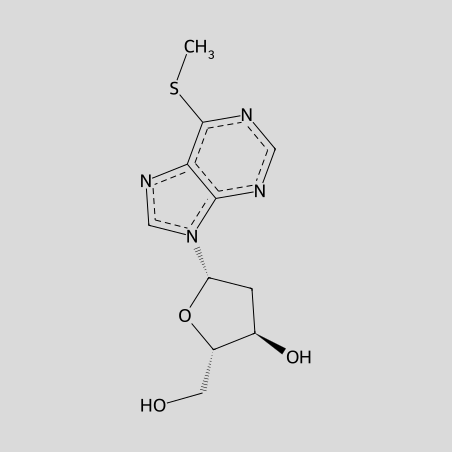 CSc1ncnc2c1ncn2[C@@H]1C[C@@H](O)[C@H](CO)O1